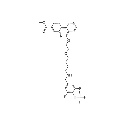 COC(=O)c1ccc2c(c1)nc(OCCOCCCCNCc1cc(F)c(OC(F)(F)F)c(F)c1)c1ccncc12